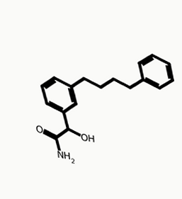 NC(=O)C(O)c1cccc(CCCCc2ccccc2)c1